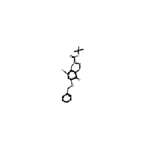 CC(C)(C)OC(=O)N1CCc2c(Br)c(OCc3ccccc3)cc(F)c2C1